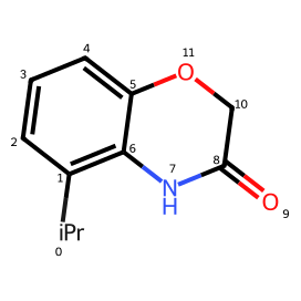 CC(C)c1cccc2c1NC(=O)CO2